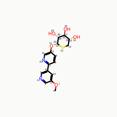 COc1cncc(-c2ccc(O[C@H]3SC[C@@H](O)[C@H](O)[C@H]3O)cn2)c1